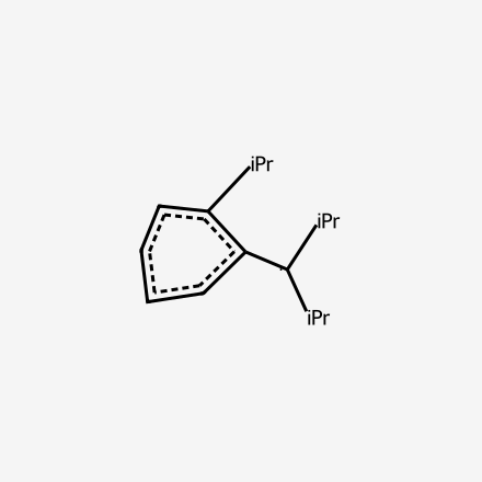 CC(C)[C](c1ccccc1C(C)C)C(C)C